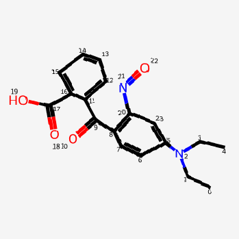 CCN(CC)c1ccc(C(=O)c2ccccc2C(=O)O)c(N=O)c1